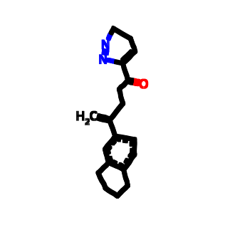 C=C(CCC(=O)C1=CCCN=N1)c1ccc2c(c1)CCCC2